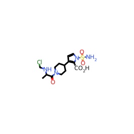 CC(NCCl)C(=O)N1CCC(c2ccn(S(N)(=O)=O)c2C(=O)O)CC1